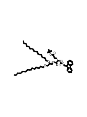 CCCCCCCCCCCCCCOCC(CNC(=O)[C@H](CCC(=O)OC(C)(C)C)NC(=O)OCC1c2ccccc2-c2ccccc21)OCCCCCCCCCCCCCC